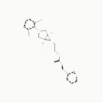 Cc1cccc(C)c1N1C[C@@H]2[C@@H](CCNC(=O)/C=C/c3cccnc3)[C@@H]2C1